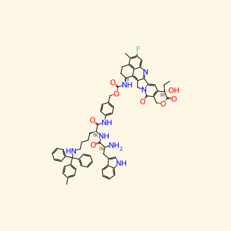 CC[C@@]1(O)C(=O)OCc2c1cc1n(c2=O)Cc2c-1nc1cc(F)c(C)c3c1c2[C@@H](NC(=O)OCc1ccc(NC(=O)[C@H](CCCCNC(c2ccccc2)(c2ccccc2)c2ccc(C)cc2)NC(=O)[C@@H](N)Cc2c[nH]c4ccccc24)cc1)CC3